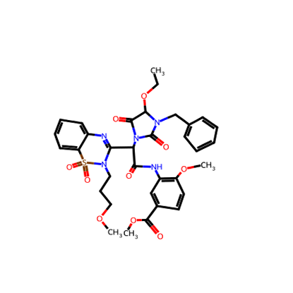 CCOC1C(=O)N(C(C(=O)Nc2cc(C(=O)OC)ccc2OC)C2=Nc3ccccc3S(=O)(=O)N2CCCOC)C(=O)N1Cc1ccccc1